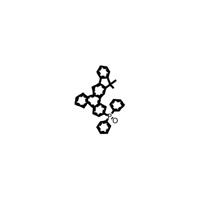 CC1(C)c2ccccc2-c2cc3c4ccccc4c4ccc(P(=O)(c5ccccc5)c5ccccc5)cc4c3cc21